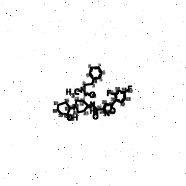 CN(CCc1ccccc1)C(=O)[C@H]1CN([C@@H]2CCCC[C@@H]2O)CC[C@@H]1NC(=O)c1cc(-c2ccc(F)cc2F)on1